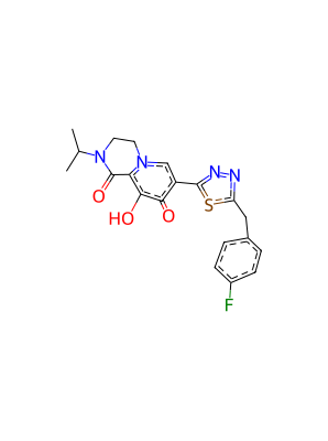 CC(C)N1CCn2cc(-c3nnc(Cc4ccc(F)cc4)s3)c(=O)c(O)c2C1=O